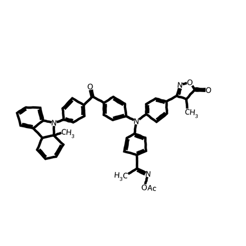 CC(=O)O/N=C(\C)c1ccc(N(c2ccc(C(=O)c3ccc(N4c5ccccc5C5C=CC=CC54C)cc3)cc2)c2ccc(C3=NOC(=O)C3C)cc2)cc1